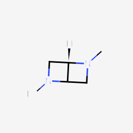 CCN1C[C@H]2C1CN2C